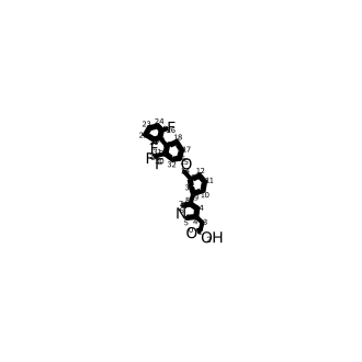 O=C(O)Cc1cncc(-c2cccc(COc3ccc(-c4ccccc4F)c(C(F)(F)F)c3)c2)c1